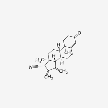 C=C1C(=C)[C@H]2[C@@H]3CCC4=CC(=O)CC[C@]4(C)[C@H]3CC[C@]2(C)[C@H]1C#N